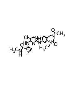 CCN1C(=O)CN(C(C)=O)Cc2ccc(Nc3ncc(Cl)c(Nc4ccsc4C(=O)NC)n3)cc21